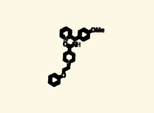 COc1ccc([C@H](NC(=O)C2CCN(CCOc3ccccc3)CC2)c2ccccn2)cc1